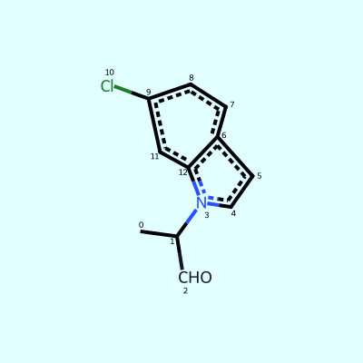 CC(C=O)n1ccc2ccc(Cl)cc21